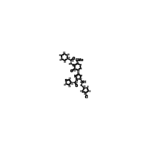 COc1ccc(-c2cc(NCc3ccc(Cl)s3)n(C(=O)c3ccsc3)n2)c(=O)n1CC(=O)c1ccccc1